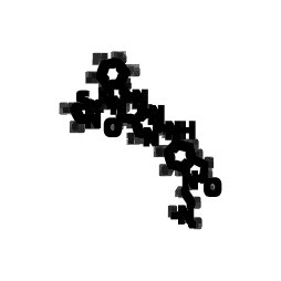 CN(C)CCN1C(=O)Cc2cc(Nc3ncc4c(=O)n5c(nc4n3)c3ccccc3n5-c3nccs3)ccc21